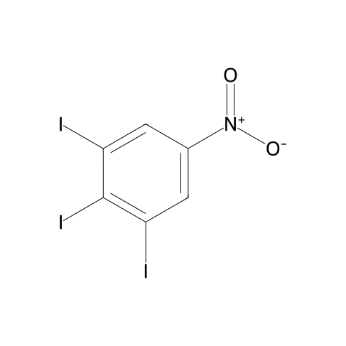 O=[N+]([O-])c1cc(I)c(I)c(I)c1